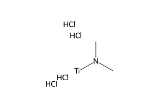 C[N](C)[Ti].Cl.Cl.Cl.Cl